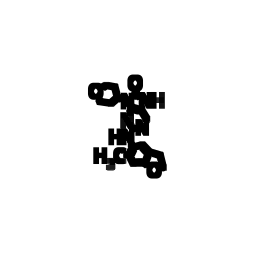 Cc1cc2c(cc1Nc1ncc3[nH]c(=O)n(C4CCOCC4)c3n1)CCO2